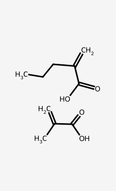 C=C(C)C(=O)O.C=C(CCC)C(=O)O